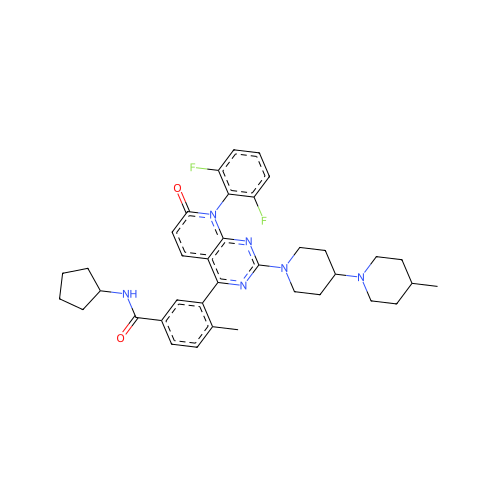 Cc1ccc(C(=O)NC2CCCC2)cc1-c1nc(N2CCC(N3CCC(C)CC3)CC2)nc2c1ccc(=O)n2-c1c(F)cccc1F